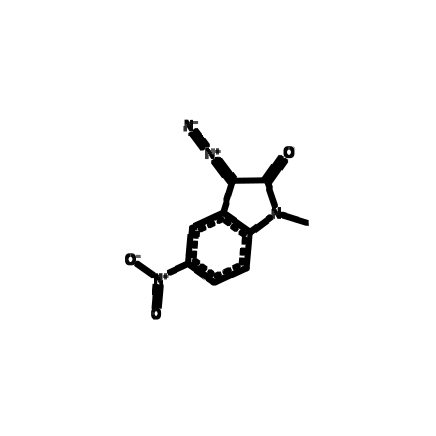 CN1C(=O)C(=[N+]=[N-])c2cc([N+](=O)[O-])ccc21